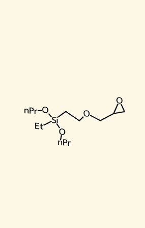 CCCO[Si](CC)(CCOCC1CO1)OCCC